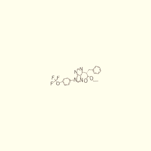 CCOC(=O)C(Cc1ccccc1)c1ncnc2c1ncn2-c1ccc(OC(F)(F)F)cc1